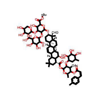 CCCCOC(=O)C1OC(O[C@H]2CC[C@]3(C)[C@H]4C=CC5[C@@H]6CC(C)(C)C[C@@H](C(=O)OC7OC(C)C(OC(=O)/C=C\c8ccc(C)cc8)C(OC(C)=O)C7OC7CC(C)C(O)C(O)C7O)C6[C@H](O)C[C@@]5(C)[C@]4(C)CC[C@H]3[C@]2(C)C=O)C(OC2OC(CO)C(O)C(O)C2O)C(OC2OCC(O)C(O)C2O)C1O